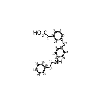 O=C(O)Cc1cccc(Sc2ccc(NCCc3ccccc3)cc2)c1